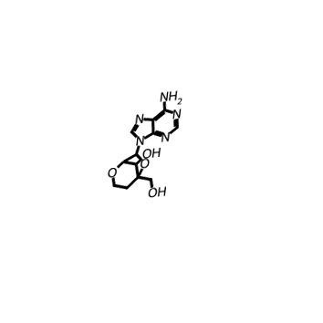 Nc1ncnc2c1ncn2C1OC2(CO)CCOC1C2O